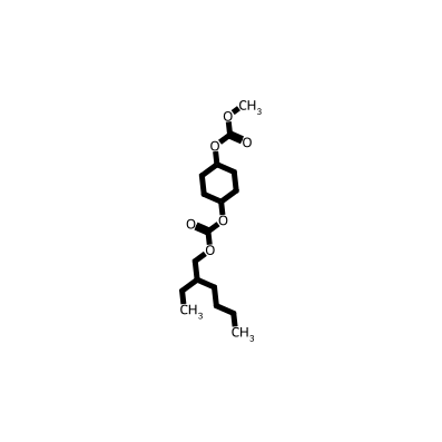 CCCCC(CC)COC(=O)OC1CCC(OC(=O)OC)CC1